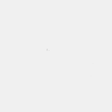 CC(C)(Oc1ccc(CCNCc2ccc(C(F)(F)F)cc2)cc1)C(=O)O